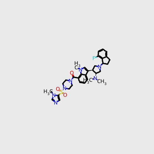 CN(C)[C@H]1CN(C2CCc3cccc(F)c32)C[C@@H]1c1cn(C)c2c(C(=O)N3CCN(S(=O)(=O)c4cncn4C)CC3)cccc12